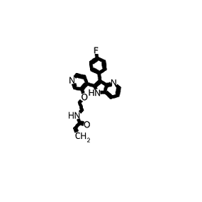 C=CC(=O)NCCOc1cnccc1-c1[nH]c2cccnc2c1-c1ccc(F)cc1